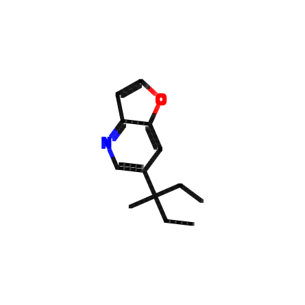 CCC(C)(CC)c1cnc2ccoc2c1